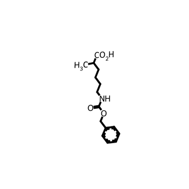 CC(CCCCNC(=O)OCc1ccccc1)C(=O)O